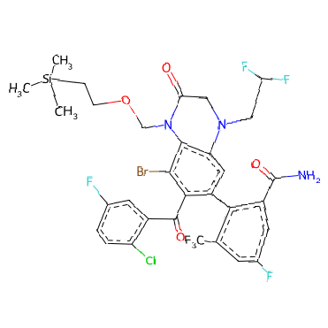 C[Si](C)(C)CCOCN1C(=O)CN(CC(F)F)c2cc(-c3c(C(N)=O)cc(F)cc3C(F)(F)F)c(C(=O)c3cc(F)ccc3Cl)c(Br)c21